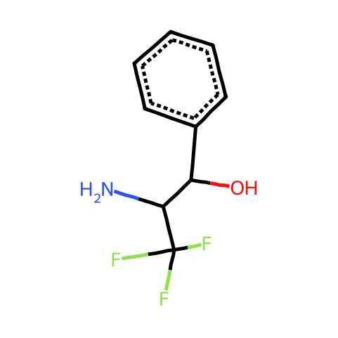 NC(C(O)c1ccccc1)C(F)(F)F